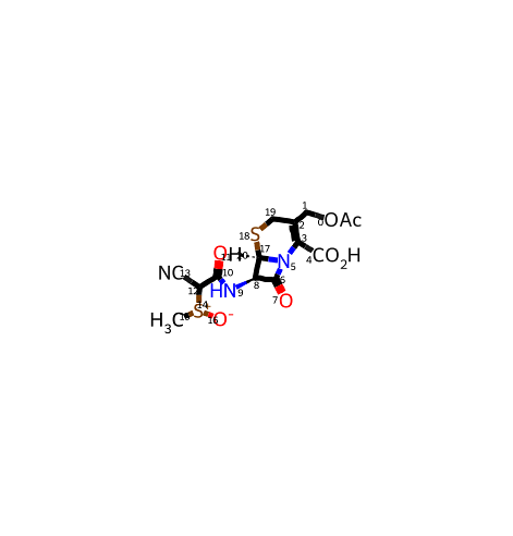 CC(=O)OCC1=C(C(=O)O)N2C(=O)[C@@H](NC(=O)C(C#N)[S+](C)[O-])[C@H]2SC1